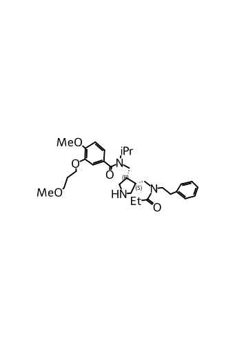 CCC(=O)N(CCc1ccccc1)C[C@@H]1CNC[C@@H]1CN(C(=O)c1ccc(OC)c(OCCCOC)c1)C(C)C